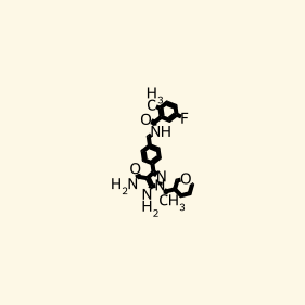 Cc1ccc(F)cc1C(=O)NCc1ccc(-c2nn(C(C)C3CCCOC3)c(N)c2C(N)=O)cc1